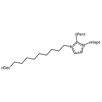 CCCCCCCCCCCCCCCCCCC[n+]1ccn(CCCCCCC)c1CCCCC